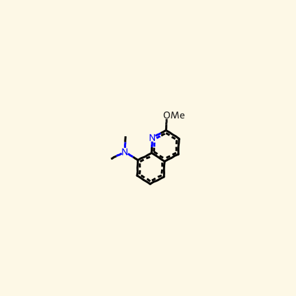 COc1ccc2cccc(N(C)C)c2n1